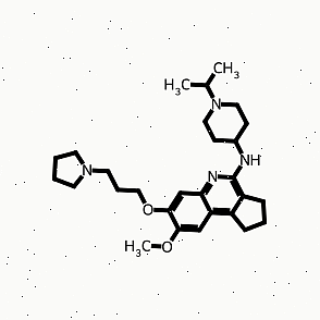 COc1cc2c3c(c(NC4CCN(C(C)C)CC4)nc2cc1OCCCN1CCCC1)CCC3